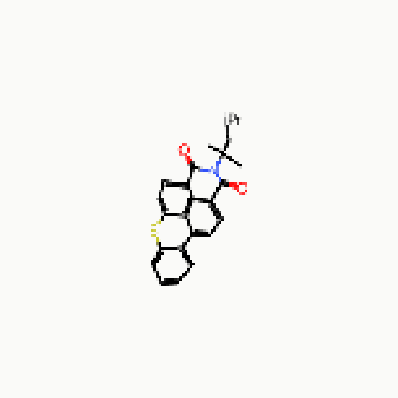 CC(C)CC(C)(C)n1c(=O)c2ccc3sc4ccccc4c4ccc(c1=O)c2c34